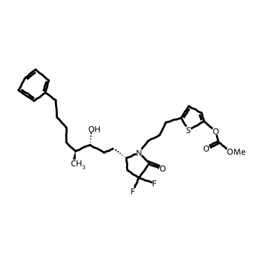 COC(=O)Oc1ccc(CCCN2C(=O)C(F)(F)C[C@@H]2CC[C@@H](O)[C@@H](C)CCCCc2ccccc2)s1